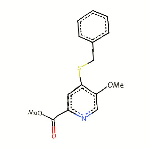 COC(=O)c1cc(SCc2ccccc2)c(OC)cn1